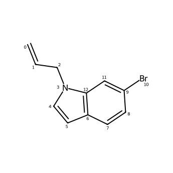 C=CCn1ccc2ccc(Br)cc21